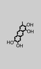 Cc1cc2cc3cc(O)c(O)cc3cc2c(O)c1O